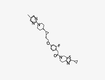 Cc1cnc(N2CCC([C@H]3C[C@H]3CCOc3ccc(CC(=O)N4CCc5nc(C6CC6)sc5C4)c(F)c3)CC2)nc1